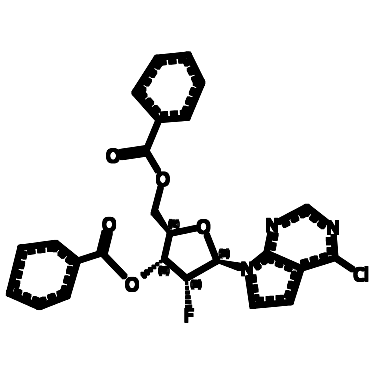 O=C(OC[C@H]1O[C@@H](n2ccc3c(Cl)ncnc32)[C@H](F)[C@@H]1OC(=O)c1ccccc1)c1ccccc1